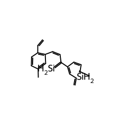 C=C/C=C(\C=C/C(C)=[SiH2])C(=[SiH2])/C=C\c1cc(C)ccc1C=C